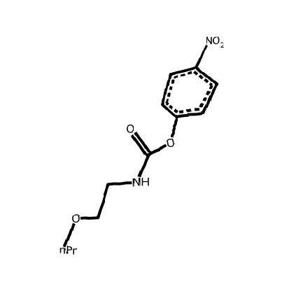 CCCOCCNC(=O)Oc1ccc([N+](=O)[O-])cc1